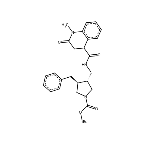 CN1C(=O)CC(C(=O)NC[C@@H]2CN(C(=O)OC(C)(C)C)C[C@H]2Cc2ccccc2)c2ccccc21